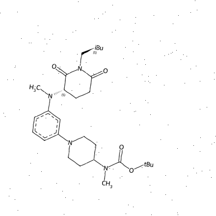 CC[C@H](C)CN1C(=O)CC[C@H](N(C)c2cccc(N3CCC(N(C)C(=O)OC(C)(C)C)CC3)c2)C1=O